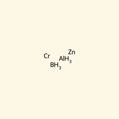 B.[AlH3].[Cr].[Zn]